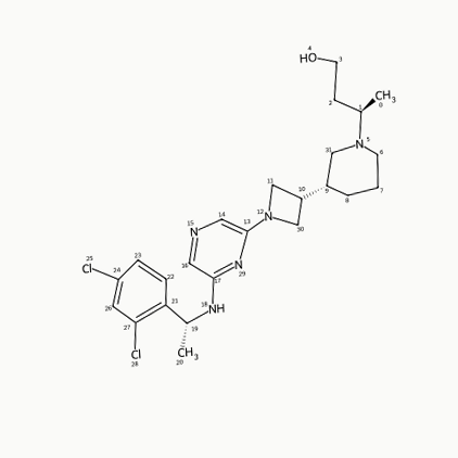 C[C@H](CCO)N1CCC[C@H](C2CN(c3cncc(N[C@H](C)c4ccc(Cl)cc4Cl)n3)C2)C1